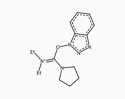 CC[N+](CC)=C(On1nnc2ccccc21)N1CCCC1